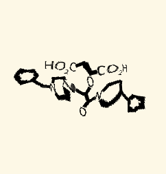 O=C(C(=O)N1CCC(c2ccccc2)C1)N1CCN(Cc2ccccc2)CC1.O=C(O)C=CC(=O)O